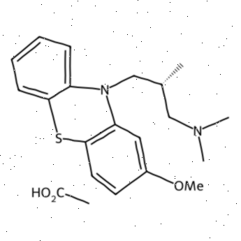 CC(=O)O.COc1ccc2c(c1)N(C[C@H](C)CN(C)C)c1ccccc1S2